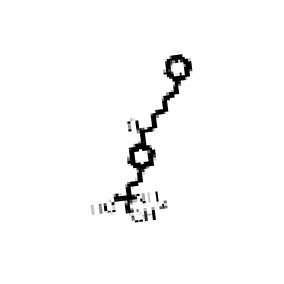 NC(CO)(CO)CCc1ccc(C(=O)CCCCCc2ccccc2)cc1